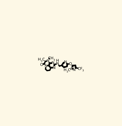 C[C@H]1C(=O)N2CCCc3nc(NCc4ccc(Oc5cc(C(F)(F)F)nn5C)nc4)nc(c32)N1C